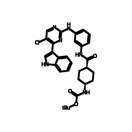 CC(C)(C)OC(=O)N[C@H]1CC[C@@H](C(=O)Nc2cccc(Nc3ncc(Cl)c(-c4c[nH]c5ccccc45)n3)c2)CC1